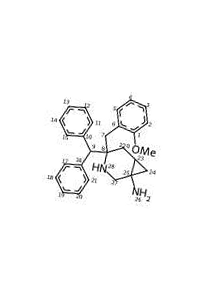 COc1ccccc1CC1(C(c2ccccc2)c2ccccc2)CC2CC2(N)CN1